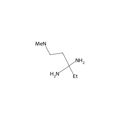 CCC(N)(N)CCNC